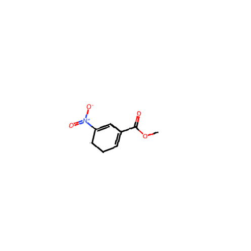 COC(=O)C1=CC[CH]C([N+](=O)[O-])=C1